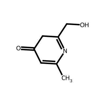 CC1=CC(=O)CC(CO)=N1